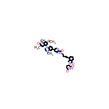 COc1cc(N2CCN(C)c3cc(-c4ccc(C(=O)NCCC#Cc5cccc6c5CN(C5CCC(=O)NC5=O)C6=O)nc4)ccc32)c2cc(C)c(=O)n(C)c2c1